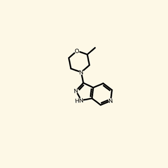 CC1CN(c2n[nH]c3cnccc23)CCO1